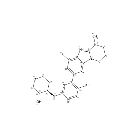 CN1CCCn2c1nc1c(F)cc(-c3nc(N[C@@H]4CCOC[C@H]4O)ncc3F)cc12